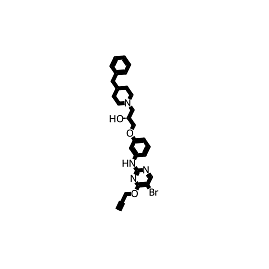 C#CCOc1nc(Nc2cccc(OC[C@H](O)CN3CCC(Cc4ccccc4)CC3)c2)ncc1Br